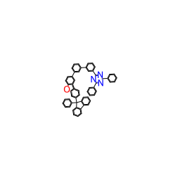 c1ccc(-c2nc(-c3ccccc3)nc(-c3cccc(-c4cccc(-c5ccc6oc7cc(C8(c9ccccc9)c9ccccc9-c9ccccc98)ccc7c6c5)c4)c3)n2)cc1